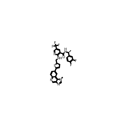 C[C@H](NC(=O)c1cc(C(F)(F)F)cnc1NCC1CC=C(c2ccc3ncc4ncn(C)c4c3c2)S1)c1ccc(F)c(F)c1